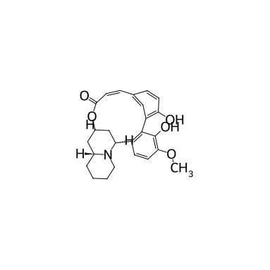 COc1ccc2c(c1O)-c1cc(ccc1O)/C=C\C(=O)O[C@H]1C[C@H]3CCCCN3[C@H]2C1